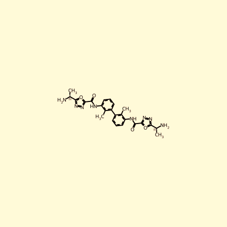 Cc1c(NC(=O)c2nnc([C@H](C)N)o2)cccc1-c1cccc(NC(=O)c2nnc([C@H](C)N)o2)c1C